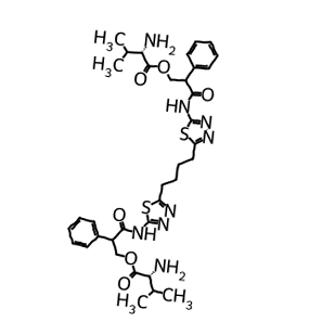 CC(C)[C@H](N)C(=O)OCC(C(=O)Nc1nnc(CCCCc2nnc(NC(=O)C(COC(=O)[C@H](N)C(C)C)c3ccccc3)s2)s1)c1ccccc1